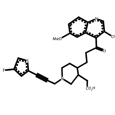 COc1ccc2ncc(Cl)c(C(=O)CCC3CCN(CC#Cc4cc(F)cs4)CC3CC(=O)O)c2c1